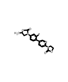 CC1CN(c2ccc(-c3ccc(N4CCOC4=O)nc3)c(F)c2)C(=O)O1